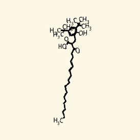 CCCCCCCCCCCCCCCCCC(=O)C(Cc1cc(C(C)(C)C)cc(C(C)(C)C)c1O)C(=O)O